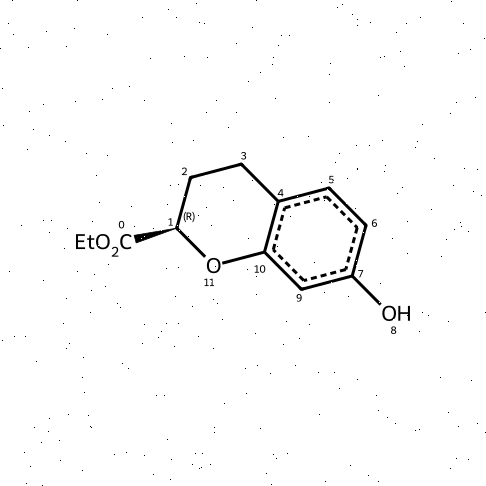 CCOC(=O)[C@H]1CCc2ccc(O)cc2O1